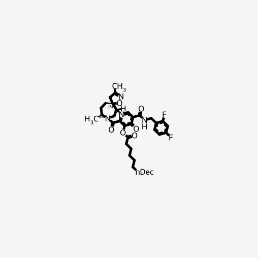 CCCCCCCCCCCCCCCC(=O)Oc1c2n(cc(C(=O)NCc3ccc(F)cc3F)c1=O)[C@@H]1CN(C2=O)[C@@H](C)CC[C@]12CC(C)=NO2